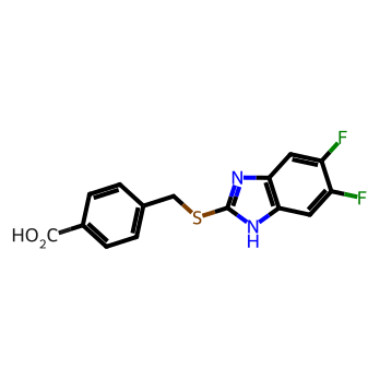 O=C(O)c1ccc(CSc2nc3cc(F)c(F)cc3[nH]2)cc1